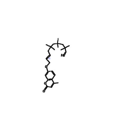 B=CC(C)(C)CC(C)(C)CC(C)(C)C/C=C/COc1ccc2c(C)cc(=O)oc2c1